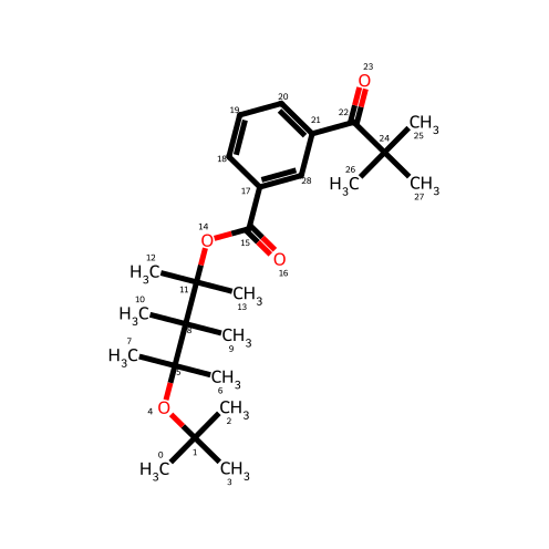 CC(C)(C)OC(C)(C)C(C)(C)C(C)(C)OC(=O)c1cccc(C(=O)C(C)(C)C)c1